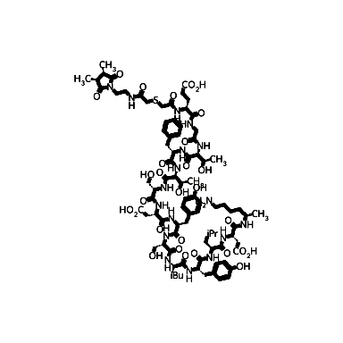 CC[C@H](C)[C@H](NC(=O)[C@H](CO)NC(=O)[C@H](Cc1ccc(O)cc1)NC(=O)[C@H](CC(=O)O)NC(=O)[C@H](CO)NC(=O)[C@@H](NC(=O)[C@H](Cc1ccccc1)NC(=O)[C@@H](NC(=O)CNC(=O)[C@H](CCC(=O)O)NC(=O)CSCC(=O)NCCN1C(=O)[C@@H](C)[C@H](C)C1=O)[C@@H](C)O)[C@@H](C)O)C(=O)N[C@@H](Cc1ccc(O)cc1)C(=O)N[C@@H](CC(C)C)C(=O)N[C@@H](CC(=O)O)C(=O)N[C@H](C)CCCCN